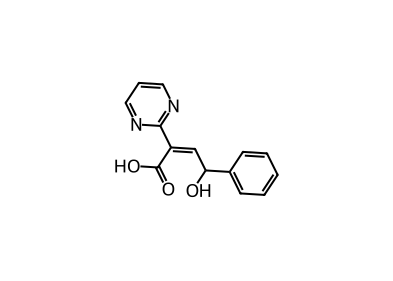 O=C(O)C(=CC(O)c1ccccc1)c1ncccn1